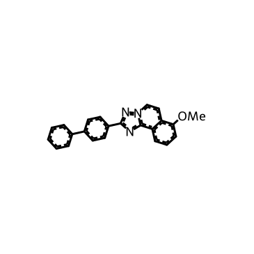 COc1cccc2c1ccn1nc(-c3ccc(-c4ccccc4)cc3)nc21